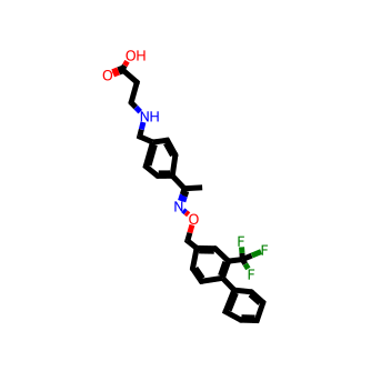 C/C(=N\OCc1ccc(-c2ccccc2)c(C(F)(F)F)c1)c1ccc(CNCCC(=O)O)cc1